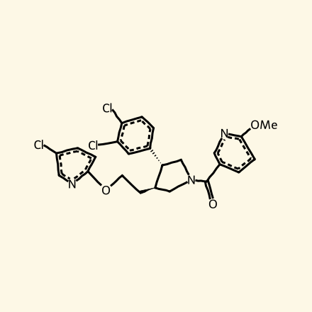 COc1ccc(C(=O)N2C[C@@H](CCOc3ccc(Cl)cn3)[C@H](c3ccc(Cl)c(Cl)c3)C2)cn1